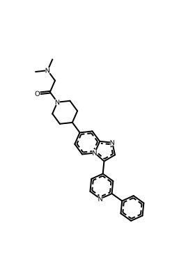 CN(C)CC(=O)N1CCC(c2ccn3c(-c4ccnc(-c5ccccc5)c4)cnc3c2)CC1